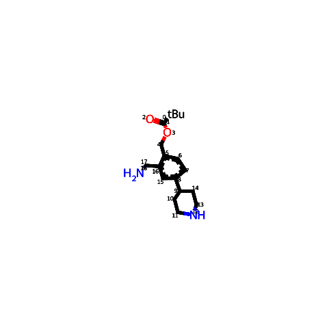 CC(C)(C)C(=O)OCc1ccc(C2CCNCC2)cc1CN